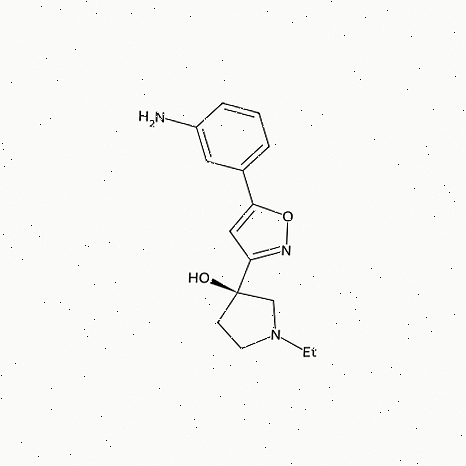 CCN1CC[C@](O)(c2cc(-c3cccc(N)c3)on2)C1